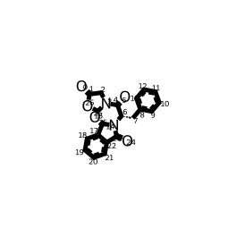 O=C1CN(C(=O)[C@H](Cc2ccccc2)N2C(=O)c3ccccc3C2=O)CO1